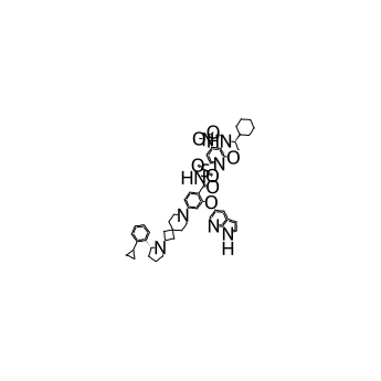 O=C(NS(=O)(=O)c1cc([N+](=O)[O-])c2c(n1)OC[C@H](C1CCCCC1)N2)c1ccc(N2CCC3(CC2)CC(N2CCC[C@@H]2c2ccccc2C2CC2)C3)cc1Oc1cnc2[nH]ccc2c1